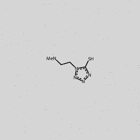 CNCCn1nnnc1S